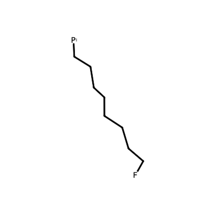 FCCCCCCCC[P]